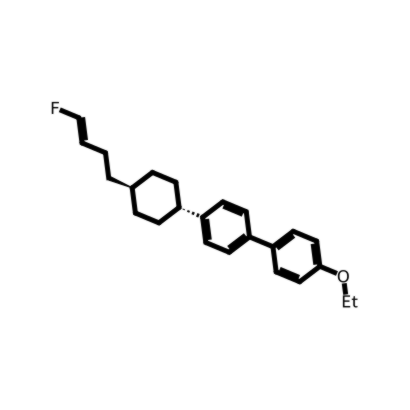 CCOc1ccc(-c2ccc([C@H]3CC[C@H](CCC=CF)CC3)cc2)cc1